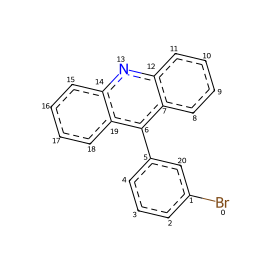 Brc1cccc(-c2c3ccccc3nc3ccccc23)c1